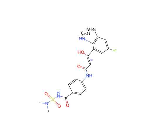 CNc1cc(F)cc(/C(O)=C/C(=O)Nc2ccc(C(=O)NS(=O)(=O)N(C)C)cc2)c1NC=O